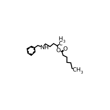 CCCCCCC(=O)OC(C)CCCNCc1ccccc1